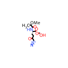 CO[C@H](C)C(=O)N[C@@H](CCC(=O)C=[N+]=[N-])C(=O)OCO